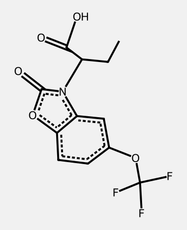 CCC(C(=O)O)n1c(=O)oc2ccc(OC(F)(F)F)cc21